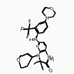 CC1(C)C(=O)Nc2ccc(Nc3ccc(N4CCOCC4)cc3C(F)(F)F)nc2N1C1CCOCC1